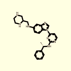 C[C@H](Nc1nccc(-n2cnc3cc(NCC4CNCCN4)ccc32)n1)c1ccccc1